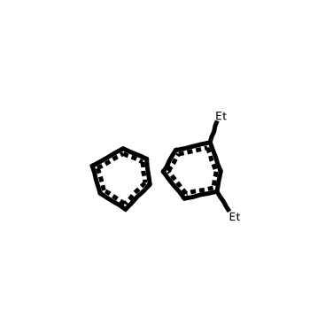 CCc1cccc(CC)c1.c1ccccc1